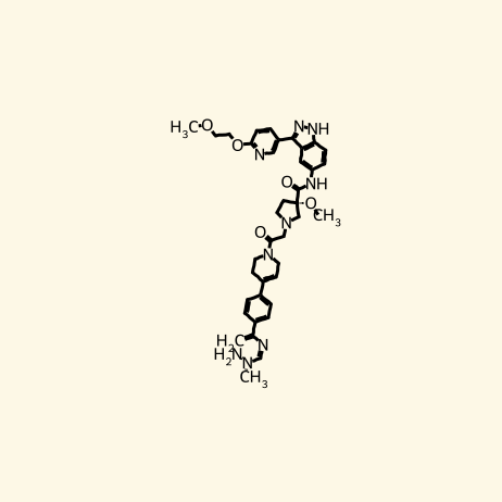 C=C(/N=C\N(C)N)c1ccc(C2=CCN(C(=O)CN3CC[C@@](OC)(C(=O)Nc4ccc5[nH]nc(-c6ccc(OCCOC)nc6)c5c4)C3)CC2)cc1